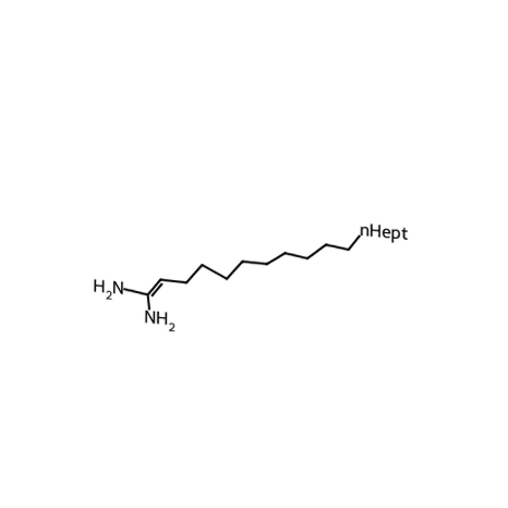 CCCCCCCCCCCCCCCCC=C(N)N